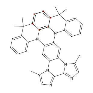 Cc1cnc2c3ncc(C)n3c3cc(N4c5ccccc5C(C)(C)c5ccccc54)c(N4c5ccccc5C(C)(C)c5ccccc54)cc3n12